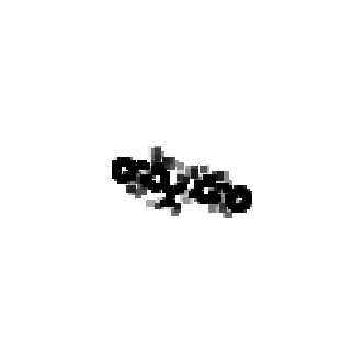 CC1(C)CC(OC(=O)C(C(=O)O)C2CC(C)(C)N(Cc3ccccc3)C(C)(C)C2)CC(C)(C)N1Cc1ccccc1